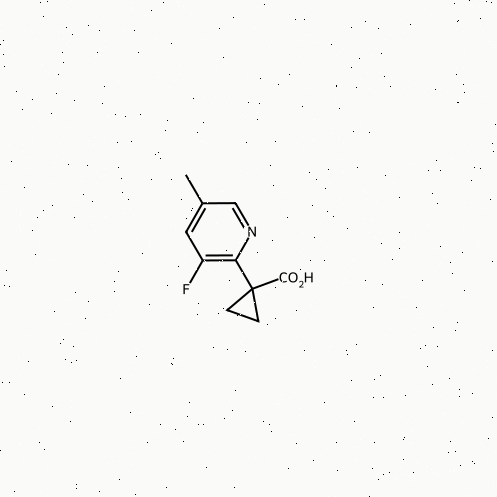 Cc1cnc(C2(C(=O)O)CC2)c(F)c1